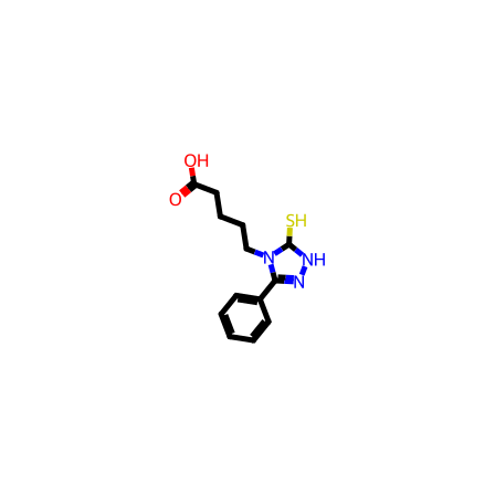 O=C(O)CCCCN1C(c2ccccc2)=NNC1S